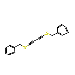 C(C#CSCc1ccccc1)#CSCc1ccccc1